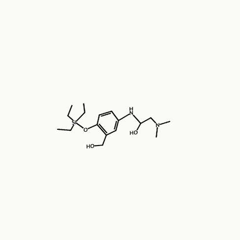 CC[Si](CC)(CC)Oc1ccc(NC(O)CN(C)C)cc1CO